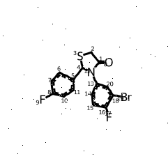 O=C1CSC(c2ccc(F)cc2)N1c1ccc(F)c(Br)c1